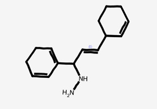 NNC(/C=C/C1C=CCCC1)C1=CCCC=C1